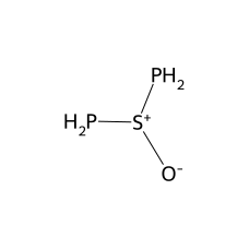 [O-][S+](P)P